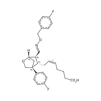 O=C(O)CCC/C=C\C[C@H]1[C@H](C=NOCc2ccc(F)cc2)[C@@H]2C[C@@]1(c1ccc(F)cc1)CO2